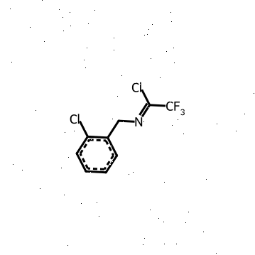 FC(F)(F)C(Cl)=NCc1ccccc1Cl